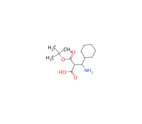 CC(C)(C)OC(=O)C(C(=O)O)C(N)C1CCCCC1